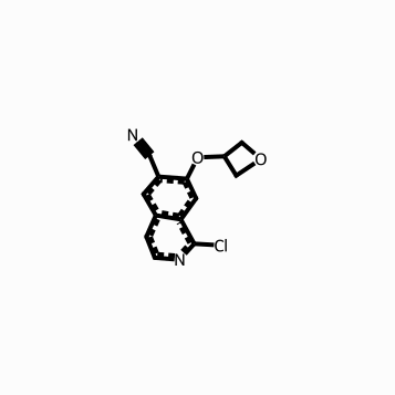 N#Cc1cc2ccnc(Cl)c2cc1OC1COC1